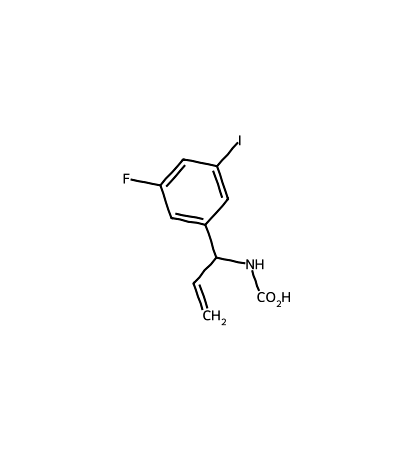 C=CC(NC(=O)O)c1cc(F)cc(I)c1